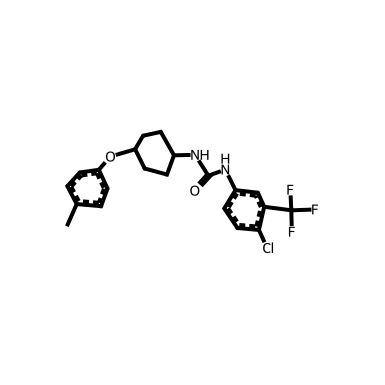 Cc1ccc(OC2CCC(NC(=O)Nc3ccc(Cl)c(C(F)(F)F)c3)CC2)cc1